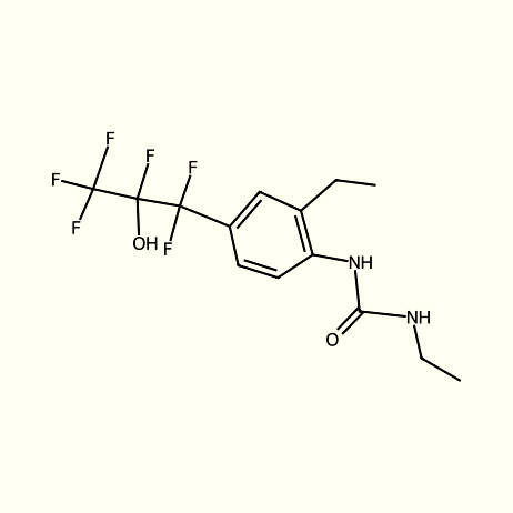 CCNC(=O)Nc1ccc(C(F)(F)C(O)(F)C(F)(F)F)cc1CC